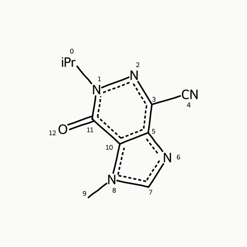 CC(C)n1nc(C#N)c2ncn(C)c2c1=O